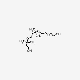 CC(C)(CCO)OCCC(C)(C)OCCOCCO